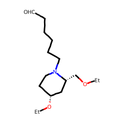 CCOC[C@@H]1C[C@H](OCC)CCN1CCCCCC=O